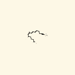 COC(=O)CCCC(C)\C=C(C)/C=C/C=C/[C@H](C)CC#C[Si](C)(C)C